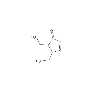 CCC1C=CC(=O)C1CC